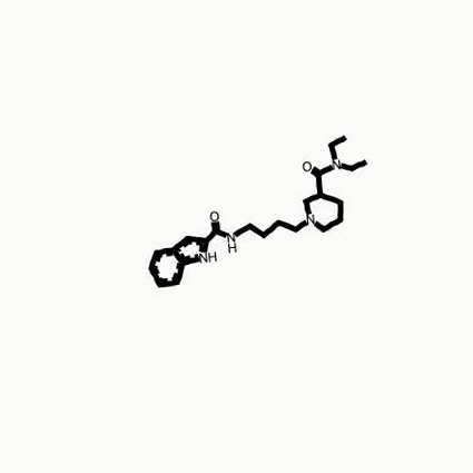 CCN(CC)C(=O)C1CCCN(CCCCNC(=O)c2cc3ccccc3[nH]2)C1